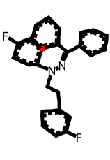 Fc1ccc(N(CCc2cccc(F)c2)N=C(c2ccccc2)c2ccccc2)cc1